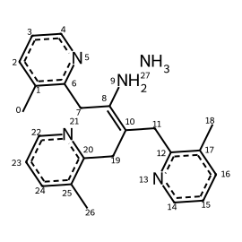 Cc1cccnc1CC(N)=C(Cc1ncccc1C)Cc1ncccc1C.N